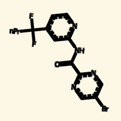 CCCC(F)(F)c1ccnc(NC(=O)c2ncc(Br)cn2)c1